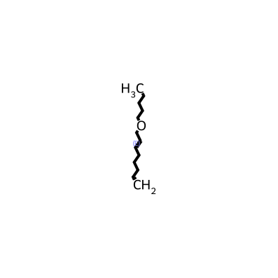 C=CCCC/C=C/COCCCCC